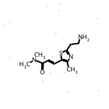 Cc1nc(CCN)sc1C=CC(=O)N(C)C